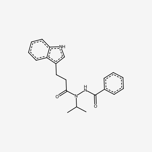 CC(C)N(NC(=O)c1ccccc1)C(=O)CCc1c[nH]c2ccccc12